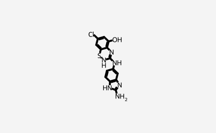 Nc1nc2cc(NC3=Nc4c(O)cc(Cl)cc4SN3)ccc2[nH]1